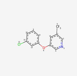 FC(F)(F)c1cncc(Oc2cc[c]c(Cl)c2)c1